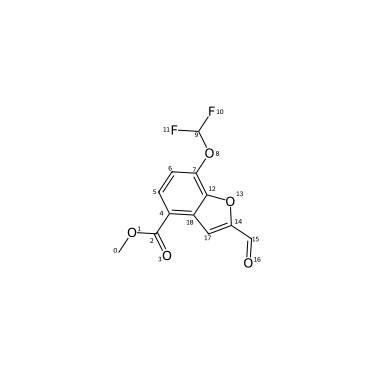 COC(=O)c1ccc(OC(F)F)c2oc(C=O)cc12